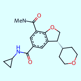 CNC(=O)c1cc(C(=O)NC2CC2)cc2c1OC[C@@H]2C1CCOCC1